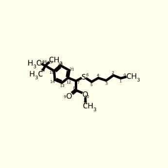 CCCCCCSC(C(=O)OC)c1ccc(C(C)(C)C)cc1